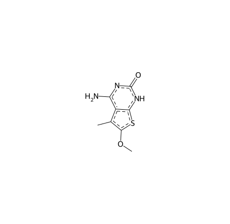 COc1sc2[nH]c(=O)nc(N)c2c1C